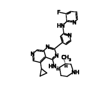 C[C@@H]1CNCC[C@@H]1Nc1nc(-c2ccnc(Nc3ncccc3F)c2)nc2cncc(C3CC3)c12